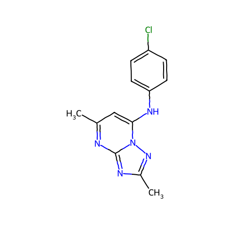 Cc1cc(Nc2ccc(Cl)cc2)n2nc(C)nc2n1